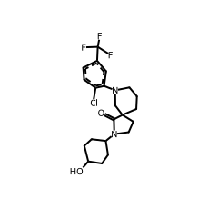 O=C1N(C2CCC(O)CC2)CCC12CCCN(c1cc(C(F)(F)F)ccc1Cl)C2